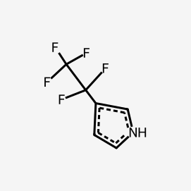 FC(F)(F)C(F)(F)c1cc[nH]c1